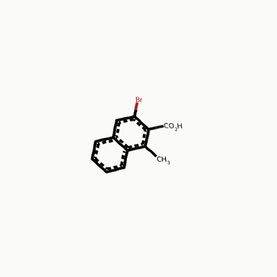 Cc1c(C(=O)O)c(Br)cc2ccccc12